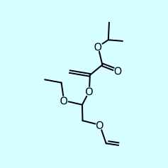 C=COCC(OCC)OC(=C)C(=O)OC(C)C